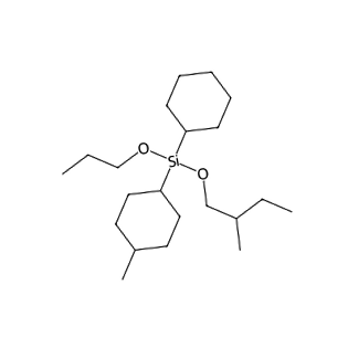 CCCO[Si](OCC(C)CC)(C1CCCCC1)C1CCC(C)CC1